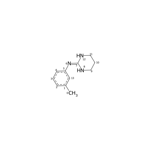 Cc1cccc(N=C2NCCCN2)c1